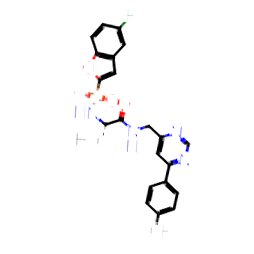 C[C@H](NS(=O)(=O)c1cc2cc(F)ccc2o1)C(=O)NCc1cc(-c2ccc(C(F)(F)F)cc2)ncn1